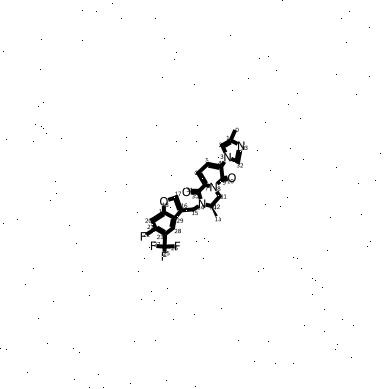 Cc1cn(-c2ccc3n(c2=O)C[C@@H](C)N(Cc2coc4cc(F)c(C(F)(F)F)cc24)C3=O)cn1